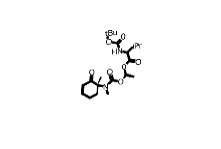 CC(OC(=O)C(NC(=O)OC(C)(C)C)C(C)C)OC(=O)N(C)[C@]1(C)CCCCC1=O